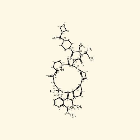 CCn1c(-c2cccnc2[C@H](C)OC)c2c3cc(ccc31)-c1csc(n1)C[C@H](NC(=O)[C@H](C(C)C)N(C)C(=O)N1CCN(C(=O)C3COC3)CC1)C(=O)N1CCC[C@H](N1)C(=O)OCC(C)(C)C2